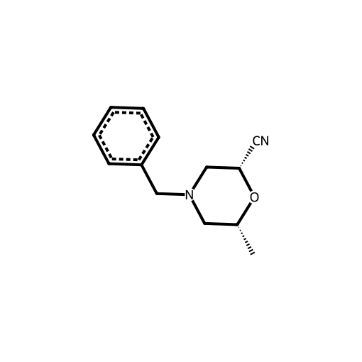 C[C@@H]1CN(Cc2ccccc2)C[C@H](C#N)O1